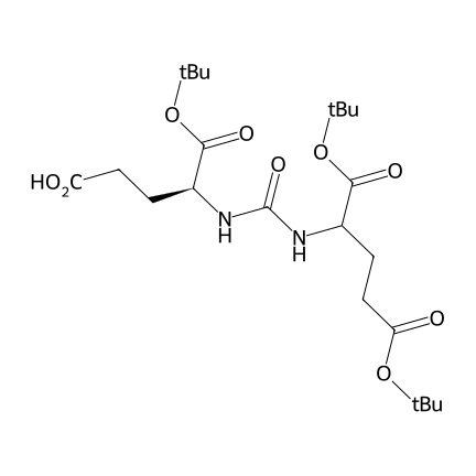 CC(C)(C)OC(=O)CCC(NC(=O)N[C@@H](CCC(=O)O)C(=O)OC(C)(C)C)C(=O)OC(C)(C)C